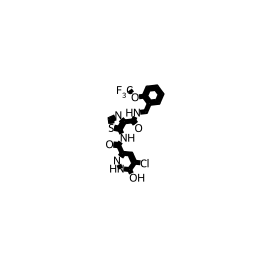 O=C(Nc1scnc1C(=O)NCc1ccccc1OC(F)(F)F)C1=NNC(O)C(Cl)=C1